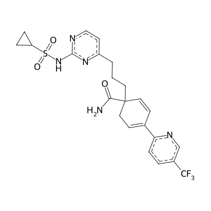 NC(=O)C1(CCCc2ccnc(NS(=O)(=O)C3CC3)n2)C=CC(c2ccc(C(F)(F)F)cn2)=CC1